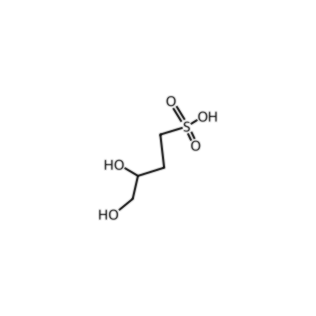 O=S(=O)(O)CCC(O)CO